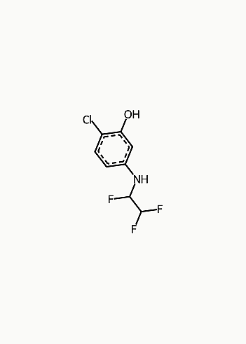 Oc1cc(NC(F)C(F)F)ccc1Cl